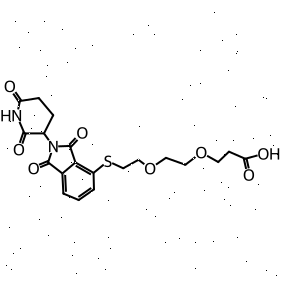 O=C(O)CCOCCOCCSc1cccc2c1C(=O)N(C1CCC(=O)NC1=O)C2=O